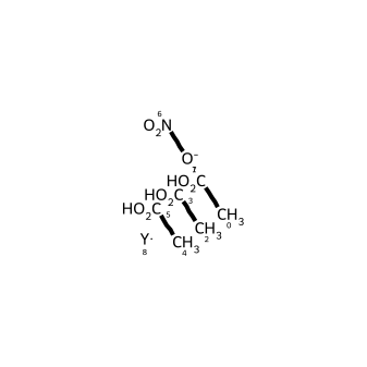 CC(=O)O.CC(=O)O.CC(=O)O.O=[N+]([O-])[O-].[Y]